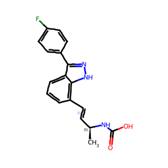 C[C@@H](/C=C/c1cccc2c(-c3ccc(F)cc3)n[nH]c12)NC(=O)O